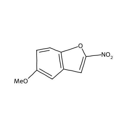 COc1ccc2oc([N+](=O)[O-])cc2c1